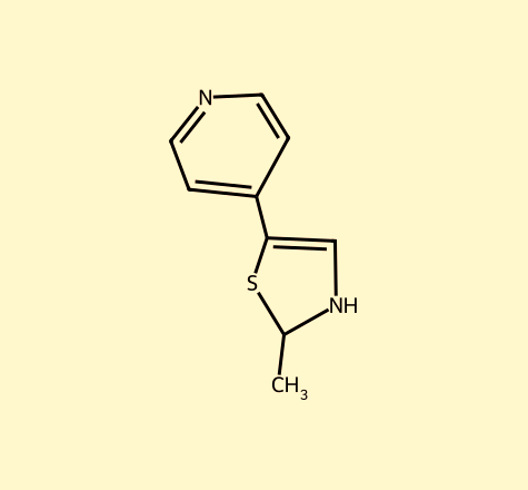 CC1NC=C(c2ccncc2)S1